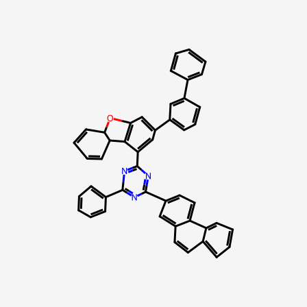 C1=CC2Oc3cc(-c4cccc(-c5ccccc5)c4)cc(-c4nc(-c5ccccc5)nc(-c5ccc6c(ccc7ccccc76)c5)n4)c3C2C=C1